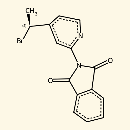 C[C@H](Br)c1ccnc(N2C(=O)c3ccccc3C2=O)c1